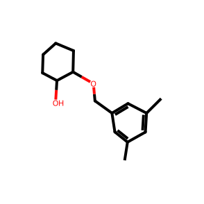 Cc1cc(C)cc(COC2CCCCC2O)c1